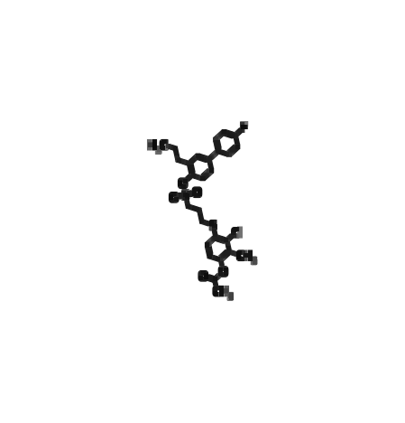 CCCc1cc(-c2ccc(F)cc2)ccc1OS(=O)(=O)CCCSc1ccc(OC(C)=O)c(C)c1Cl